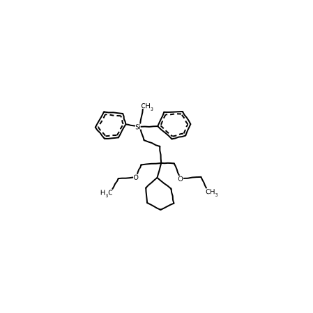 CCOCC(CC[Si](C)(c1ccccc1)c1ccccc1)(COCC)C1CCCCC1